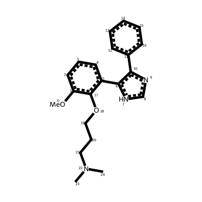 COc1cccc(-c2[nH]cnc2-c2ccccc2)c1OCCCN(C)C